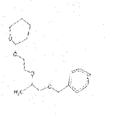 CC(COCc1ccccc1)OCCOC1CCCCO1